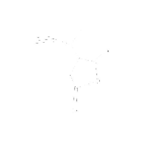 C#CC(C)C1CC(=O)OC1=O